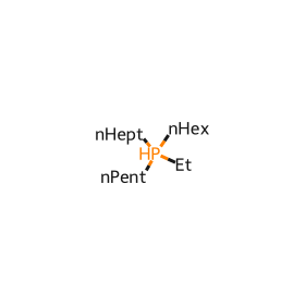 CCCCCCC[PH](CC)(CCCCC)CCCCCC